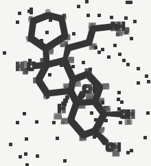 CC1(C2CCCCC2)CC[C@H]2C(CCC3[C@@H](O)[C@@H](O)CC[C@@]32C)[C@@H]1CCCN